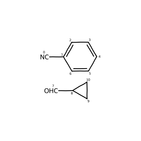 N#Cc1ccccc1.O=CC1CC1